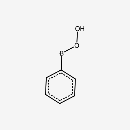 OO[B]c1ccccc1